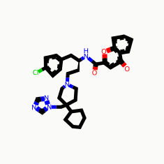 O=C(N[C@@H](CCN1CCC(Cn2cncn2)(C2CCCCC2)CC1)Cc1ccc(Cl)cc1)c1cc(=O)c2ccccc2o1